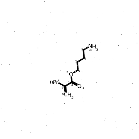 C=C(CCC)C(=O)OCCCCN